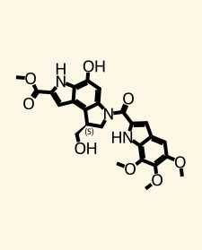 COC(=O)c1cc2c3c(cc(O)c2[nH]1)N(C(=O)c1cc2cc(OC)c(OC)c(OC)c2[nH]1)C[C@H]3CO